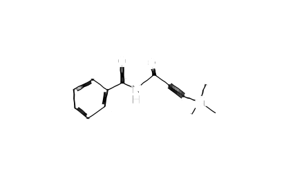 C[Si](C)(C)C#CC(=O)NC(=O)c1ccccc1